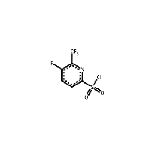 O=S(=O)(Cl)c1ccc(F)c(C(F)(F)F)n1